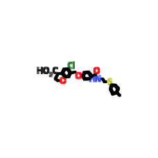 Cc1ccc(SCCNC(=O)c2ccc(OCc3cc4c(cc3Cl)C(C(=O)O)CCO4)cc2)cc1